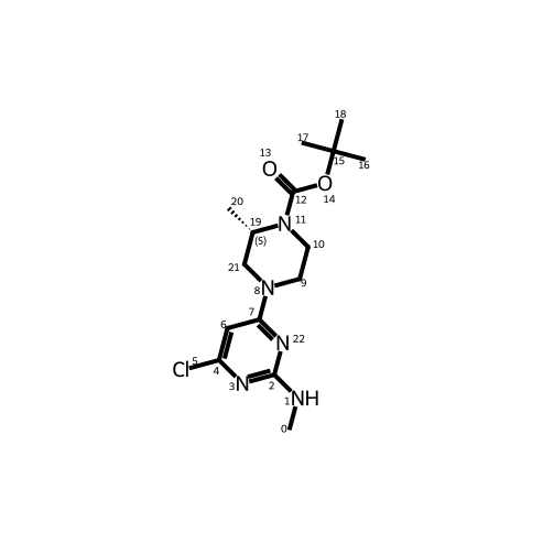 CNc1nc(Cl)cc(N2CCN(C(=O)OC(C)(C)C)[C@@H](C)C2)n1